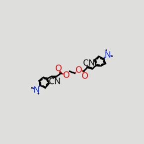 CN(C)c1ccc(/C=C(\C#N)C(=O)OCCOC(=O)/C(C#N)=C/c2ccc(N(C)C)cc2)cc1